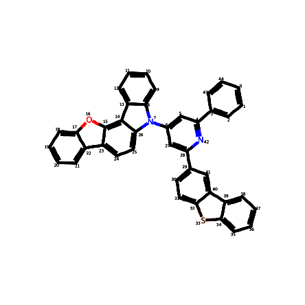 c1ccc(-c2cc(-n3c4ccccc4c4c5oc6ccccc6c5ccc43)cc(-c3ccc4sc5ccccc5c4c3)n2)cc1